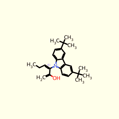 C=C(O)/C(=C\CC)n1c2ccc(C(C)(C)C)cc2c2cc(C(C)(C)C)ccc21